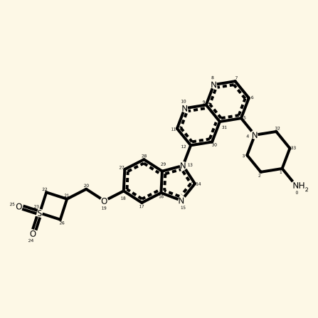 NC1CCN(c2ccnc3ncc(-n4cnc5cc(OCC6CS(=O)(=O)C6)ccc54)cc23)CC1